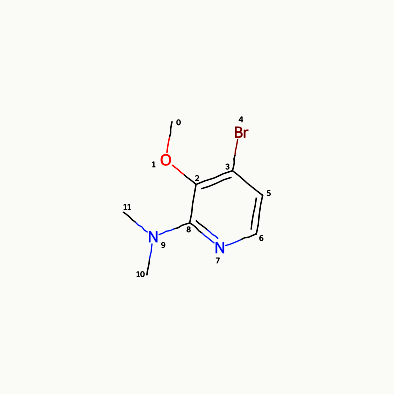 COc1c(Br)ccnc1N(C)C